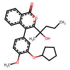 CCCC(C)(O)c1oc(=O)c2ccccc2c1-c1ccc(OC)c(OC2CCCC2)c1